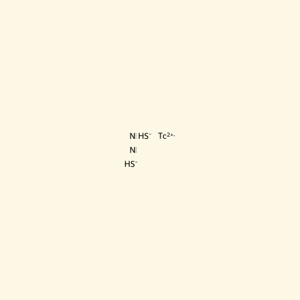 [N].[N].[SH-].[SH-].[Tc+2]